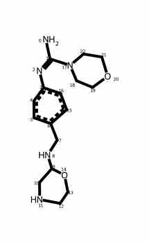 NC(=Nc1ccc(CNC2CNCCO2)cc1)N1CCOCC1